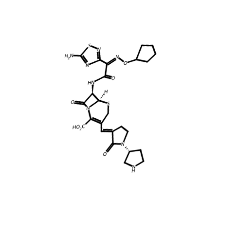 Nc1nc(/C(=N/OC2CCCC2)C(=O)N[C@@H]2C(=O)N3C(C(=O)O)=C(/C=C4\CCN([C@@H]5CCNC5)C4=O)CS[C@H]23)ns1